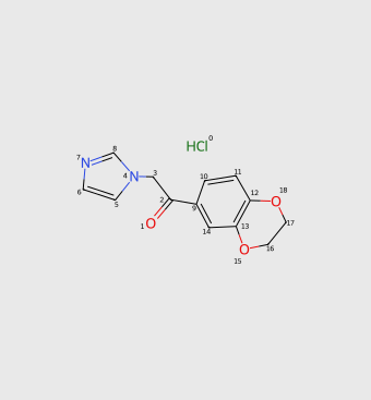 Cl.O=C(Cn1ccnc1)c1ccc2c(c1)OCCO2